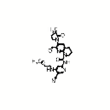 COCCNc1cc(NC(=O)N2CCCc3cc(N4CC[C@H](C)C4=O)c(C=O)nc32)ncc1C#N